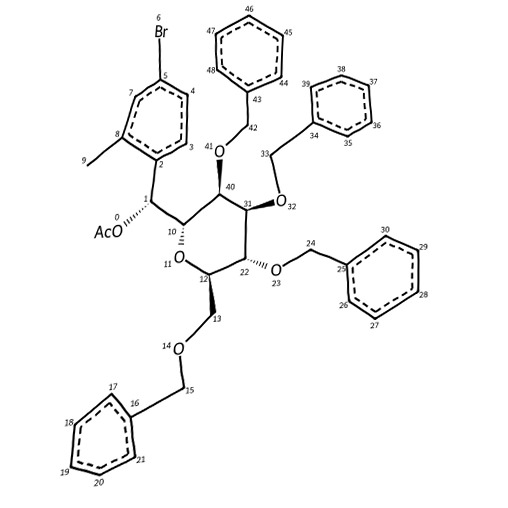 CC(=O)O[C@H](c1ccc(Br)cc1C)[C@H]1O[C@H](COCc2ccccc2)[C@@H](OCc2ccccc2)[C@H](OCc2ccccc2)[C@@H]1OCc1ccccc1